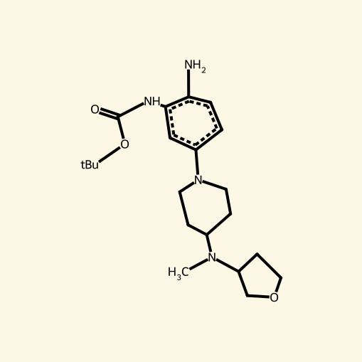 CN(C1CCN(c2ccc(N)c(NC(=O)OC(C)(C)C)c2)CC1)C1CCOC1